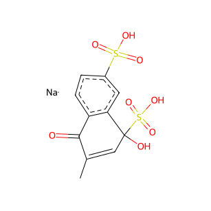 CC1=CC(O)(S(=O)(=O)O)c2cc(S(=O)(=O)O)ccc2C1=O.[Na]